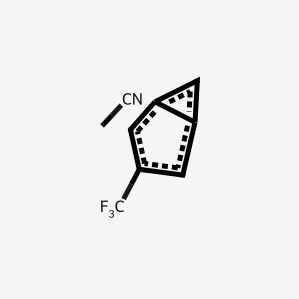 CC#N.FC(F)(F)c1cc2cc-2c1